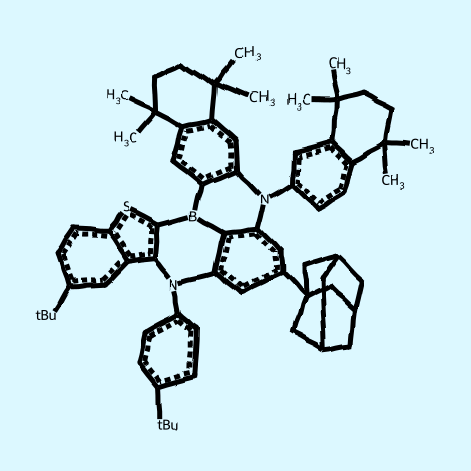 CC(C)(C)c1ccc(N2c3cc(C45CC6CC(CC(C6)C4)C5)cc4c3B(c3cc5c(cc3N4c3ccc4c(c3)C(C)(C)CCC4(C)C)C(C)(C)CCC5(C)C)c3sc4ccc(C(C)(C)C)cc4c32)cc1